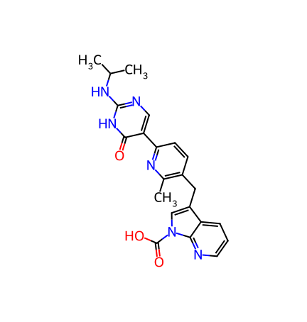 Cc1nc(-c2cnc(NC(C)C)[nH]c2=O)ccc1Cc1cn(C(=O)O)c2ncccc12